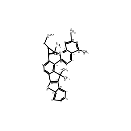 COCC1C2(C)c3ccc4c(c3-c3ccc5c(C)cc(C)cc5[n+]3C12C)C(C)(C)c1c-4oc2ccccc12